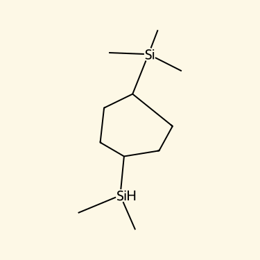 C[SiH](C)C1CCC([Si](C)(C)C)CC1